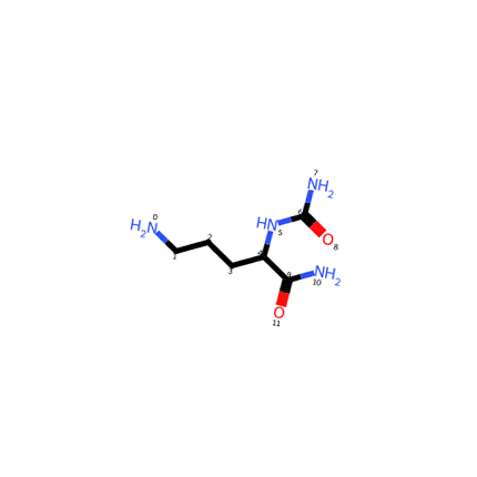 NCCCC(NC(N)=O)C(N)=O